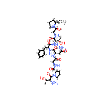 C[C@@H](O)[C@H](N)C(=O)N1CCC[C@H]1C(=O)NCC(=O)N[C@@H](CC(N)=O)C(=O)N[C@@H](Cc1ccccc1)C(=O)N[C@H](C(=O)NCC(=O)N1CCC[C@H]1C(=O)O)[C@@H](C)O